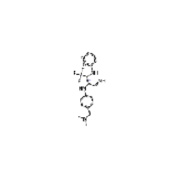 CN(C)Cc1ccc(N/C(C=N)=C(/Nc2cccnn2)C(F)(F)F)cc1